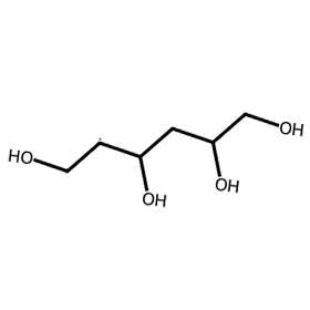 OC[CH]C(O)CC(O)CO